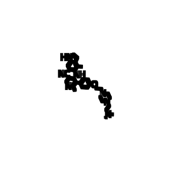 Cc1ncc(C#N)c(Nc2ccc3[nH]ccc3c2C)c1-c1ccc(OCCN2CCN(CCN(C)C)CC2)cc1